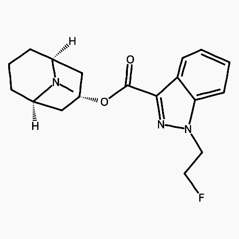 CN1[C@@H]2CCC[C@H]1C[C@H](OC(=O)c1nn(CCF)c3ccccc13)C2